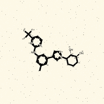 Cc1cc(Nc2nccc(C(F)(F)F)n2)cc(-c2cnn(C3CCC[C@H](O)[C@H]3O)c2)c1